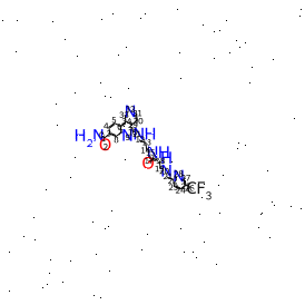 NC(=O)c1ccc2c(c1)nc(NCCCNC(=O)CCNCc1ccc(C(F)(F)F)cn1)c1ccncc12